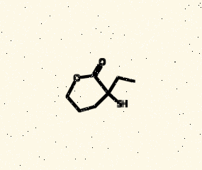 CCC1(S)CCCOC1=O